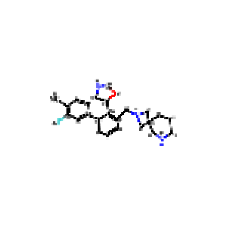 N#Cc1ccc(-c2cccc(CN3CC4(CCCNC4)C3)c2C2CN=CO2)cc1F